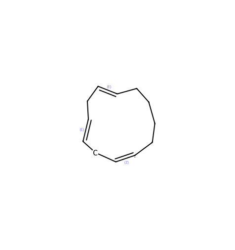 [C]1=C\C/C=C/C/C=C/CCCC/1